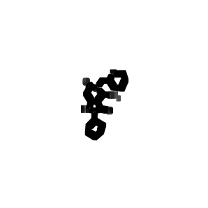 Cc1c2c(=O)n(-c3ccccc3)[nH]c2cc(=O)n1Cc1ccccn1